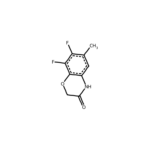 Cc1cc2c(c(F)c1F)OCC(=O)N2